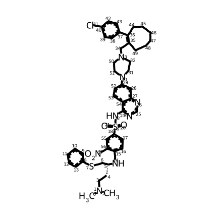 CN(C)CC[C@H](CSc1ccccc1)Nc1ccc(S(=O)(=O)Nc2ncnc3cc(N4CCN(CC5=C(c6ccc(Cl)cc6)CCCCCC5)CC4)ccc23)cc1[N+](=O)[O-]